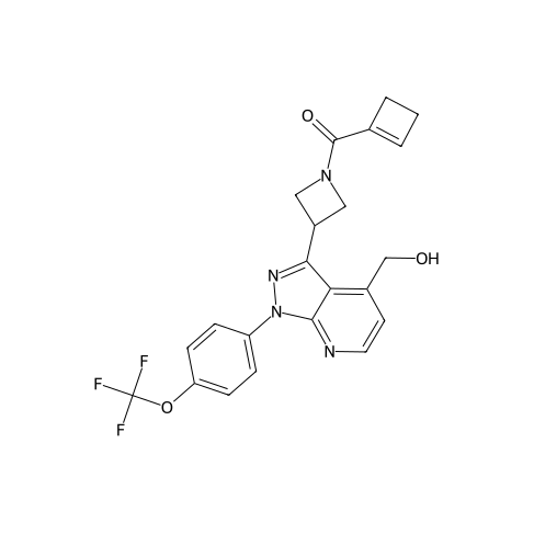 O=C(C1=CCC1)N1CC(c2nn(-c3ccc(OC(F)(F)F)cc3)c3nccc(CO)c23)C1